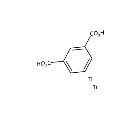 O=C(O)c1cccc(C(=O)O)c1.[Ti].[Ti]